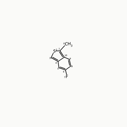 Cc1s[c]c2cc(F)ccc12